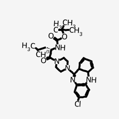 CC(C)C[C@H](NC(=O)OC(C)(C)C)C(=O)N1CCN(C2=Nc3cc(Cl)ccc3NC3C=CC=CC23)CC1